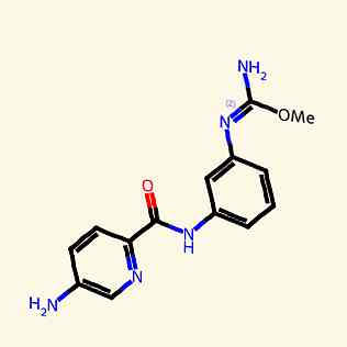 CO/C(N)=N\c1cccc(NC(=O)c2ccc(N)cn2)c1